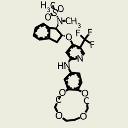 CN([C@@H]1c2ccccc2C[C@H]1Oc1cc(Nc2ccc3c(c2)OCCOCCOCCO3)ncc1C(F)(F)F)S(C)(=O)=O